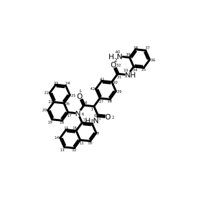 NC(=O)C(C(=O)N(c1cccc2ccccc12)c1cccc2ccccc12)c1ccc(C(=O)Nc2ccccc2N)cc1